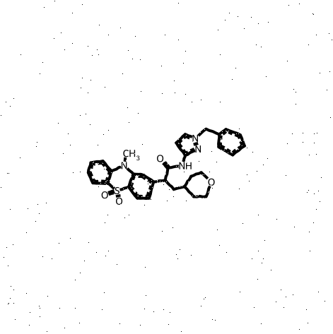 CN1c2ccccc2S(=O)(=O)c2ccc(C(CC3CCOCC3)C(=O)Nc3ccn(Cc4ccccc4)n3)cc21